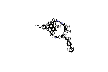 C/C1=C/C=C/C(C)[C@H](O)[C@@H](C)C(O)C[C@H](OC(=O)CC(=O)N2CCN(c3ncccn3)CC2)[C@H](C)C/C=C/O[C@@]2(C)Oc3c(C)c(O)c4c(c3C2=O)C2=NC3(CCN(CC(C)C)CC3)NC2=C(NC1=O)C4=O